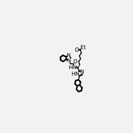 CCC(=O)CCCCC[C@H](NC(=O)Cn1cnc2ccccc21)c1ncc(-c2ccc3ccccc3c2)[nH]1